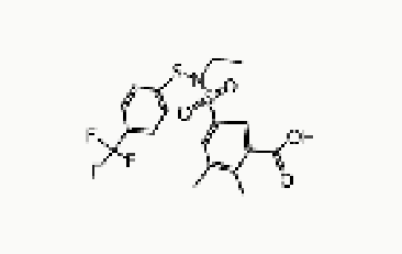 CCN(Sc1ccc(C(F)(F)F)cc1)S(=O)(=O)c1cc(C)c(C)c(C(=O)O)c1